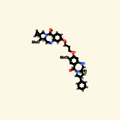 COc1cc2c(cc1OCCCOc1ccc3c(c1)N=CC1C(OC)C4(CC4)CN1C3=O)NC[C@@H]1CC(c3ccccc3)=CN1C2=O